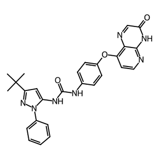 CC(C)(C)c1cc(NC(=O)Nc2ccc(Oc3ccnc4[nH]c(=O)cnc34)cc2)n(-c2ccccc2)n1